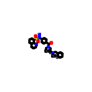 C=CN(CCN(C)Cc1ccccc1)C(=O)c1ccc(NS(=O)(=O)c2cccc3cccnc23)cc1